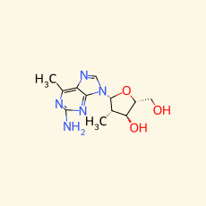 Cc1nc(N)nc2c1ncn2[C@@H]1O[C@H](CO)[C@@H](O)[C@@H]1C